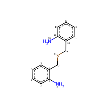 Nc1ccccc1CSCc1ccccc1N